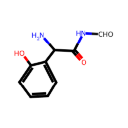 NC(C(=O)NC=O)c1ccccc1O